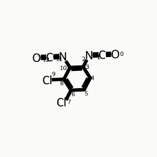 O=C=Nc1ccc(Cl)c(Cl)c1N=C=O